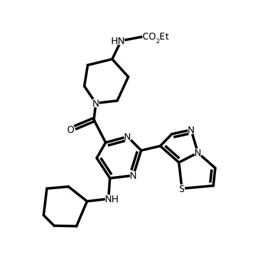 CCOC(=O)NC1CCN(C(=O)c2cc(NC3CCCCC3)nc(-c3cnn4ccsc34)n2)CC1